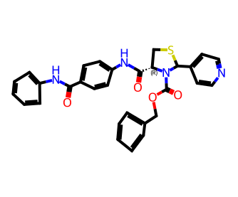 O=C(Nc1ccccc1)c1ccc(NC(=O)[C@@H]2CSC(c3ccncc3)N2C(=O)OCc2ccccc2)cc1